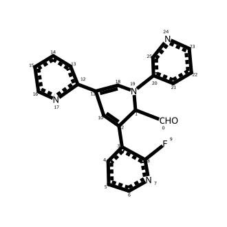 O=CC1C(c2cccnc2F)=CC(c2ccccn2)=CN1c1cccnc1